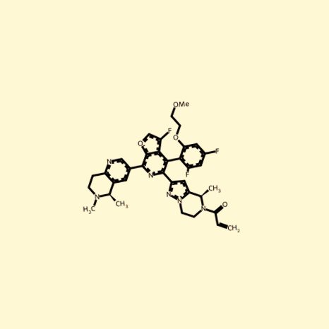 C=CC(=O)N1CCn2nc(-c3nc(-c4cnc5c(c4)[C@@H](C)N(C)CC5)c4occ(F)c4c3-c3c(F)cc(F)cc3OCCOC)cc2[C@H]1C